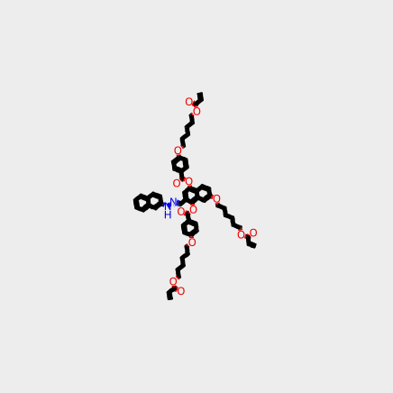 C=CC(=O)OCCCCCCOc1ccc(C(=O)Oc2cc(/C=N/Nc3ccc4ccccc4c3)c(OC(=O)c3ccc(OCCCCCCOC(=O)C=C)cc3)c3cc(OCCCCCCOC(=O)C=C)ccc23)cc1